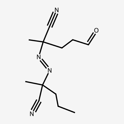 CCCC(C)(C#N)N=NC(C)(C#N)CCC=O